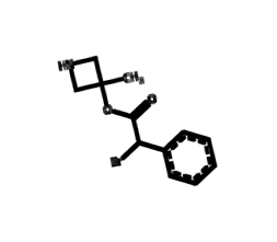 CC1(OC(=O)C(Br)c2ccccc2)CNC1